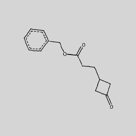 O=C1CC(CCC(=O)OCc2ccccc2)C1